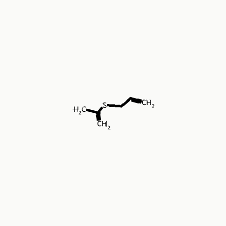 [CH2]C(=C)SCC=C